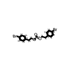 O=[N+](OCCc1ccc(Br)cc1)OCCc1ccc(Br)cc1